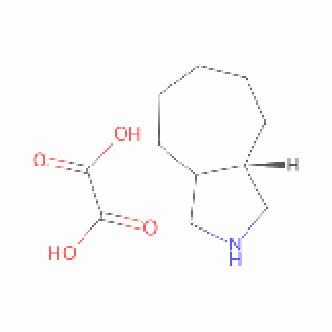 C1CCC2CNC[C@H]2CC1.O=C(O)C(=O)O